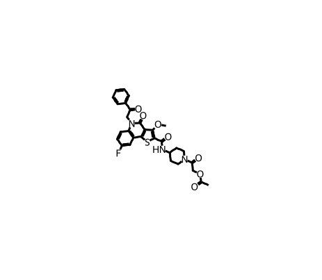 COc1c(C(=O)NC2CCN(C(=O)COC(C)=O)CC2)sc2c1c(=O)n(CC(=O)c1ccccc1)c1ccc(F)cc21